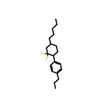 CCCCCC1CCC(c2ccc(CCC)cc2)C(F)(F)C1